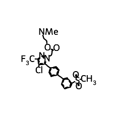 CNCCOC(=O)Cn1nc(C(F)(F)F)c(Cl)c1-c1ccc(-c2cccc(S(C)(=O)=O)c2)cc1